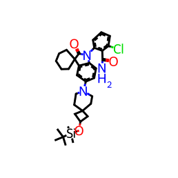 CC(C)(C)[Si](C)(C)OC1CC2(CCN(c3ccc4c(c3)C3(CCCCC3)C(=O)N4c3cccc(Cl)c3C(N)=O)CC2)C1